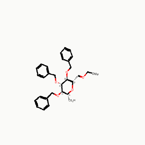 COCOC[C@@H]1O[C@H](C(=O)O)[C@@H](OCc2ccccc2)[C@H](OCc2ccccc2)[C@H]1OCc1ccccc1